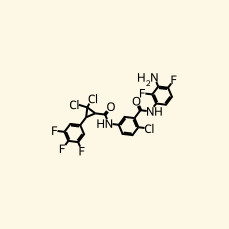 Nc1c(F)ccc(NC(=O)c2cc(NC(=O)C3C(c4cc(F)c(F)c(F)c4)C3(Cl)Cl)ccc2Cl)c1F